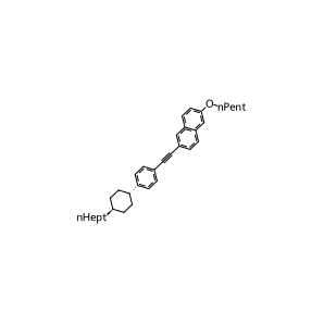 CCCCCCC[C@H]1CC[C@H](c2ccc(C#Cc3ccc4cc(OCCCCC)ccc4c3)cc2)CC1